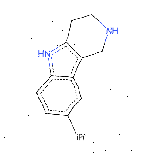 CC(C)c1ccc2[nH]c3c(c2c1)CNCC3